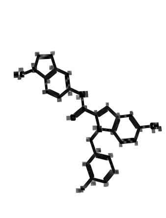 Cc1ccc2c(c1)cc(C(=O)Nc1ccc3c(ccn3C)c1)n2Cc1cccc(F)c1